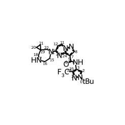 CC(C)(C)n1cc(NC(=O)c2cnn3ccc(N4CCNCC5(CC5)C4)nc23)c(C(F)(F)F)n1